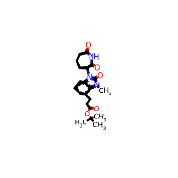 Cn1c(=O)n(C2CCCC(=O)NC2=O)c2cccc(CCC(=O)OC(C)(C)C)c21